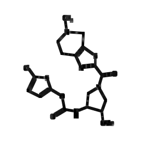 COC1CN(C(=O)c2nc3c(s2)CN(C)CC3)CC1NC(=O)Oc1ccc(Cl)s1